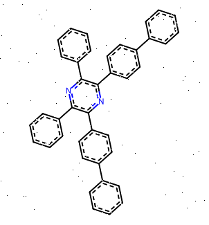 c1ccc(-c2ccc(-c3nc(-c4ccc(-c5ccccc5)cc4)c(-c4ccccc4)nc3-c3ccccc3)cc2)cc1